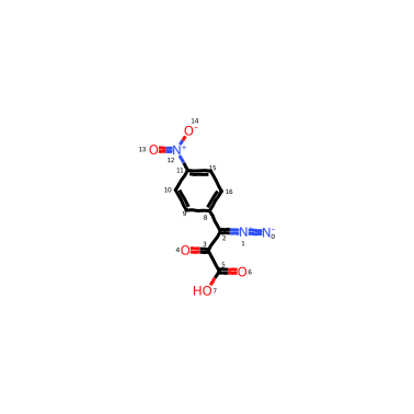 [N-]=[N+]=C(C(=O)C(=O)O)c1ccc([N+](=O)[O-])cc1